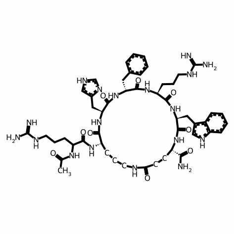 CC(=O)NC(CCCNC(=N)N)C(=O)N[C@H]1CCCNC(=O)CC[C@@H](C(N)=O)NC(=O)[C@H](Cc2c[nH]c3ccccc23)NC(=O)[C@H](CCCNC(=N)N)NC(=O)[C@@H](Cc2ccccc2)NC(=O)[C@H](Cc2c[nH]cn2)NC1=O